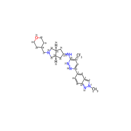 Cn1cc2cc(-c3cc(C(F)(F)F)c(N[C@H]4C[C@@H]5CN(CC6CCOCC6)C[C@@H]5C4)nn3)ccc2n1